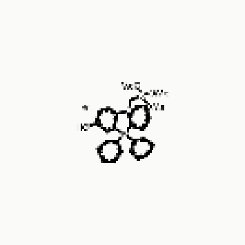 CO[Si](COc1ccc(O)cc1[P+](c1ccccc1)(c1ccccc1)c1ccccc1)(OC)OC.[Br-]